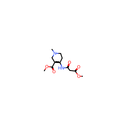 COC(=O)CC(=O)NC1=C(C(=O)OC)CN(C)CC1